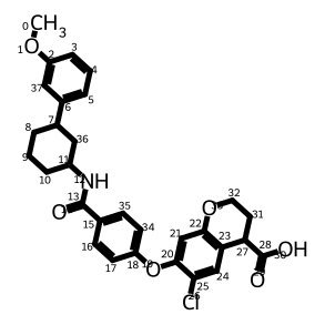 COc1cccc(C2CCCC(NC(=O)c3ccc(Oc4cc5c(cc4Cl)C(C(=O)O)CCO5)cc3)C2)c1